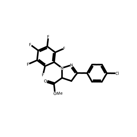 COC(=O)C1CC(c2ccc(Cl)cc2)=NN1c1c(F)c(F)c(F)c(F)c1F